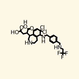 O=C(O)CC(C(=O)O)C1CNCCC2=C1C=CC(Cl)(Cl)C2NCc1ccc(CNCC(F)(F)F)cc1